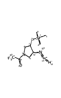 C[Si](C)(C)OC1CN(C(=O)C(F)(F)F)CC1N=[N+]=[N-]